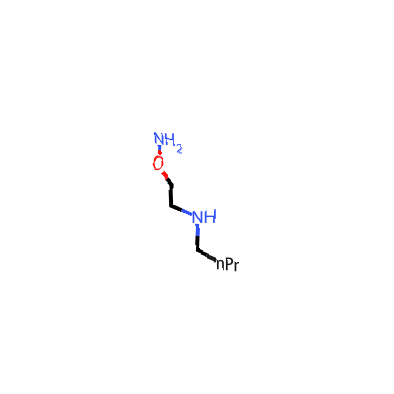 CCCCNCCON